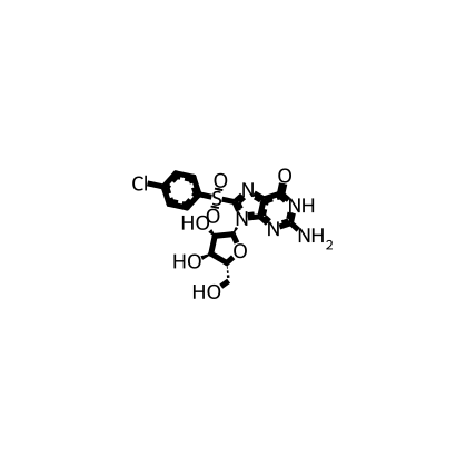 Nc1nc2c(nc(S(=O)(=O)c3ccc(Cl)cc3)n2[C@@H]2O[C@H](CO)[C@@H](O)[C@H]2O)c(=O)[nH]1